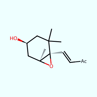 CC(=O)/C=C/[C@]12O[C@@]1(C)C[C@@H](O)CC2(C)C